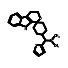 CN(C)C(c1cccs1)C1CCC2(CC1)OCCc1c2[nH]c2ccccc12